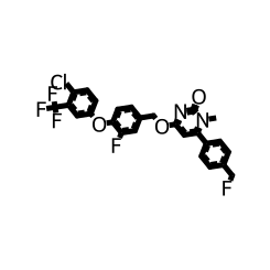 Cn1c(-c2ccc(CF)cc2)cc(OCc2ccc(Oc3ccc(Cl)c(C(F)(F)F)c3)c(F)c2)nc1=O